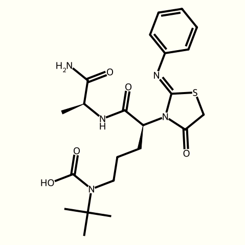 C[C@H](NC(=O)[C@H](CCCN(C(=O)O)C(C)(C)C)N1C(=O)CSC1=Nc1ccccc1)C(N)=O